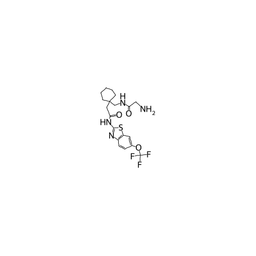 NCC(=O)NCC1(CC(=O)Nc2nc3ccc(OC(F)(F)F)cc3s2)CCCCC1